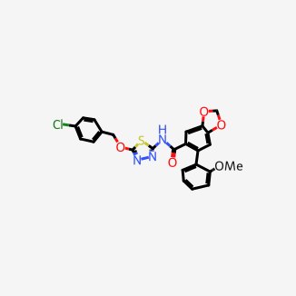 COc1ccccc1-c1cc2c(cc1C(=O)Nc1nnc(OCc3ccc(Cl)cc3)s1)OCO2